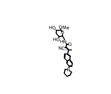 COC1OC(CNC(=O)/C(C#N)=C(\C)c2ccc3cc(N4CCCCC4)ccc3c2)C(O)CC1O